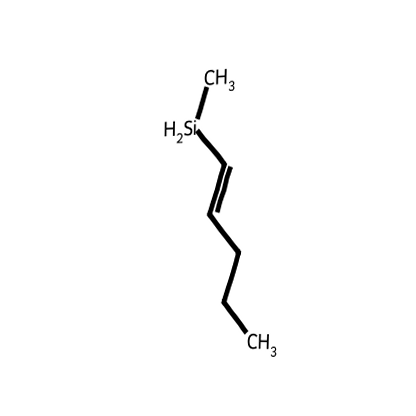 CCCC=C[SiH2]C